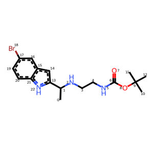 CC(NCCNC(=O)OC(C)(C)C)c1cc2cc(Br)ccc2[nH]1